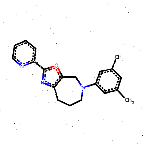 Cc1cc(C)cc(N2CCCc3nc(-c4ccccn4)oc3C2)c1